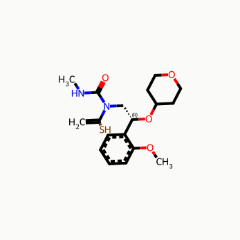 C=C(S)N(C[C@H](OC1CCOCC1)c1ccccc1OC)C(=O)NC